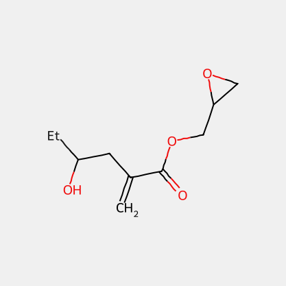 C=C(CC(O)CC)C(=O)OCC1CO1